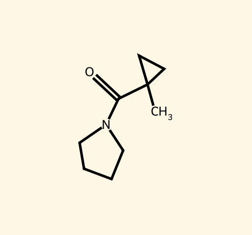 CC1(C(=O)N2CCCC2)CC1